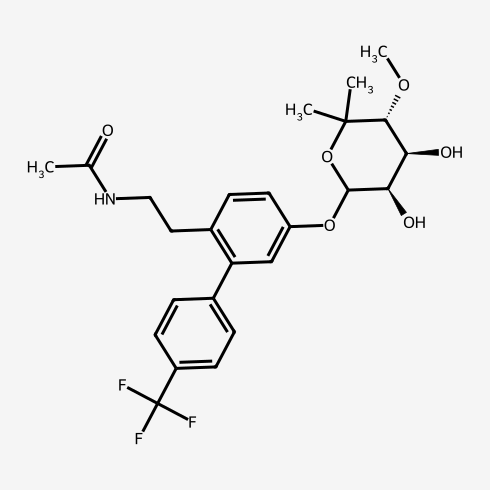 CO[C@@H]1[C@@H](O)[C@@H](O)C(Oc2ccc(CCNC(C)=O)c(-c3ccc(C(F)(F)F)cc3)c2)OC1(C)C